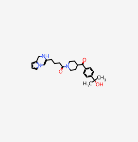 CC(C)(O)c1ccc(C(=O)C2CCN(C(=O)CCCC3=Cn4cccc4CN3)CC2)cc1